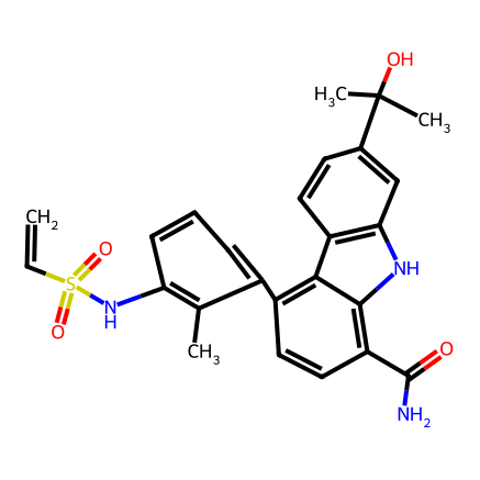 C=CS(=O)(=O)Nc1cccc(-c2ccc(C(N)=O)c3[nH]c4cc(C(C)(C)O)ccc4c23)c1C